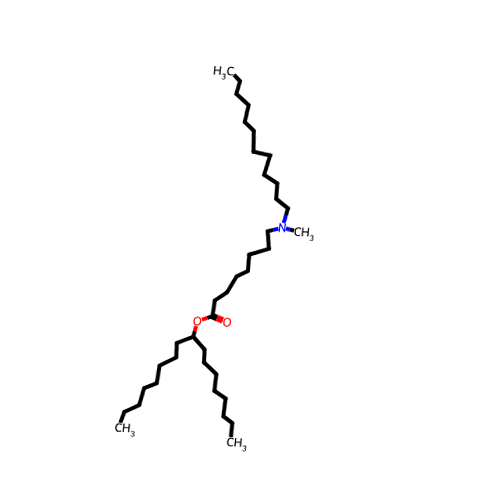 CCCCCCCCCCCCN(C)CCCCCCCC(=O)OC(CCCCCCCC)CCCCCCCC